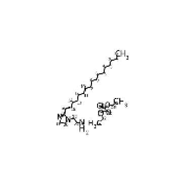 CCCCCCCCCCCCCCC/C=C/C1=NCCN1CCN.CCOS(=O)(=O)OCC